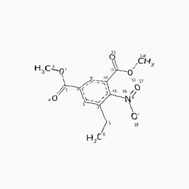 CCc1cc(C(=O)OC)[c]c(C(=O)OC)c1[N+](=O)[O-]